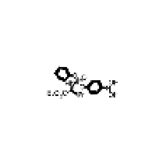 CCOC(=O)[C@@H](NP(=O)(Oc1ccccc1)Oc1ccc(N(O)O)cc1)C(C)C